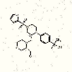 C[C@@](O)(c1ccc(N2CCN(S(=O)(=O)c3cccs3)C[C@H]2CN2CCOC[C@H]2CO)cc1)C(F)(F)F